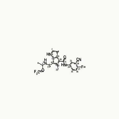 CC(NSc1c2[nH]ccc2c(C(=O)Nc2ccc(F)c(C#N)c2)n1C)OC(F)(F)F